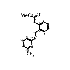 COC(=O)Cc1ccccc1COc1cccc(C(F)(F)F)n1